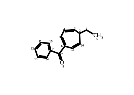 CCC1C=CC=C(C(=O)c2ccccc2)C=C1